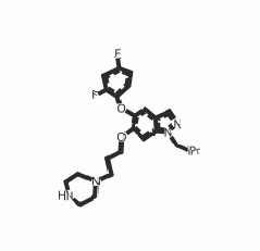 CC(C)Cn1ncc2cc(Oc3ccc(F)cc3F)c(OCCCN3CCNCC3)cc21